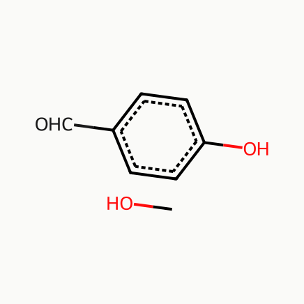 CO.O=Cc1ccc(O)cc1